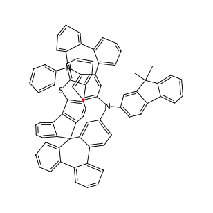 CC1(C)c2ccccc2-c2ccc(N(c3ccc4c(c3)-c3ccccc3-c3ccccc3N4c3ccccc3)c3ccc4c(c3)C3(c5ccccc5-c5ccccc5-4)c4ccccc4-c4c3ccc3c4sc4ccccc43)cc21